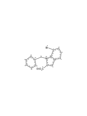 CCOC(=O)c1cc2cccc(Br)c2n1Cc1ccccc1